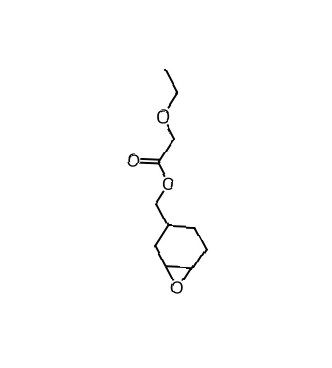 CCOCC(=O)OCC1CCC2OC2C1